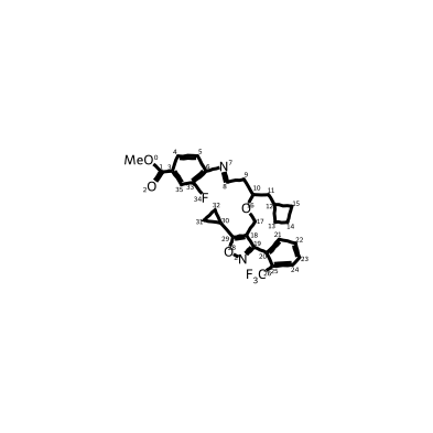 COC(=O)c1ccc(/N=C/CC(CC2CCC2)OCc2c(-c3ccccc3C(F)(F)F)noc2C2CC2)c(F)c1